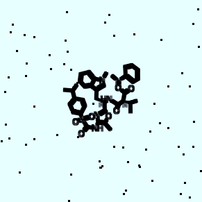 Cc1oc([C@@H](Cc2cn(C)c3ccccc23)NC(=O)[C@@H](C(=O)ON(C)c2ccccc2)C(C)C)nc1NC(=O)S(=O)(=O)c1ccc(C(C)C)cc1